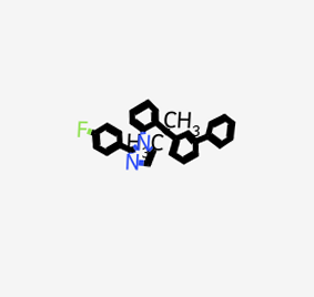 CC(C)(c1cccc(-c2ccccc2)c1)c1ccccc1-n1ccnc1-c1ccc(F)cc1